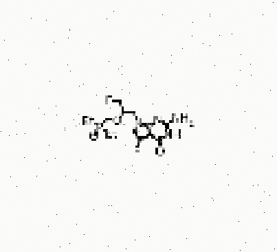 CCP(=O)(CC)COC(CF)Cn1cc(F)c2c(=O)[nH]c(N)nc21